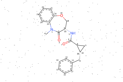 CN1C(=O)[C@@H](NC(=O)C2C[C@@H]2Cc2ccccc2)COc2ccccc21